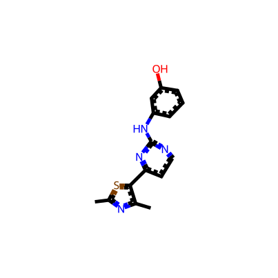 Cc1nc(C)c(-c2ccnc(Nc3cccc(O)c3)n2)s1